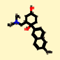 COc1ccc2cc(C3(O)CCC(O)CC3CN(C)C)ccc2c1